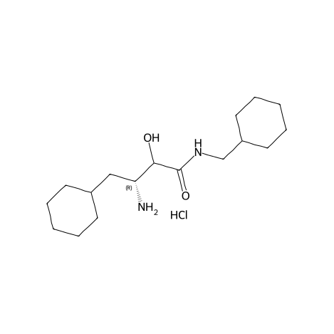 Cl.N[C@H](CC1CCCCC1)C(O)C(=O)NCC1CCCCC1